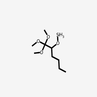 CCCCC(O[SiH3])C(OC)(OC)OC